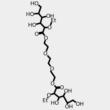 CCOC(C(=O)OCCOCCOCCOC(=O)C(OCC)C(O)C(O)C(O)CO)C(O)C(O)C(O)CO